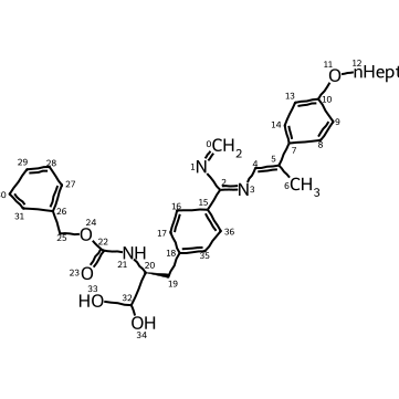 C=N/C(=N\C=C(/C)c1ccc(OCCCCCCC)cc1)c1ccc(C[C@H](NC(=O)OCc2ccccc2)C(O)O)cc1